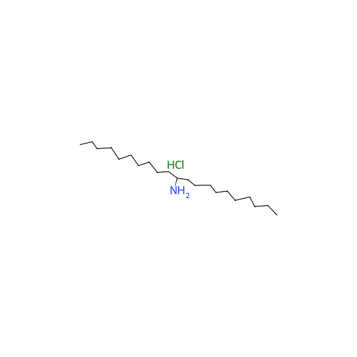 CCCCCCCCCCC(N)CCCCCCCCCC.Cl